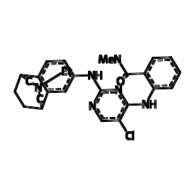 CCN1CC2CCC(C1)c1cc(Nc3ncc(Cl)c(Nc4ccccc4C(=O)NC)n3)ccc12